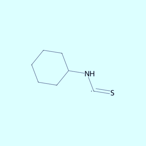 S=[C]NC1CCCCC1